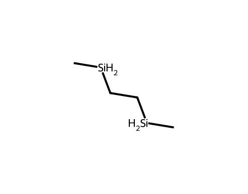 C[SiH2]CC[SiH2]C